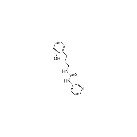 Oc1ccccc1CCCNC(=S)Nc1cccnc1